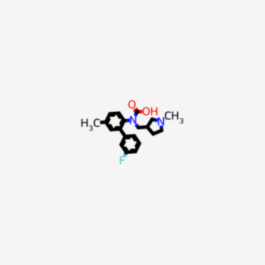 Cc1ccc(N(CC2CCN(C)C2)C(=O)O)c(-c2cccc(F)c2)c1